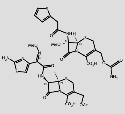 CO/N=C(/C(=O)N[C@@H]1C(=O)N2C(C(=O)O)=C(COC(C)=O)CS[C@H]12)c1csc(N)n1.CO[C@@]1(NC(=O)Cc2cccs2)C(=O)N2C(C(=O)O)=C(COC(N)=O)CS[C@@H]21